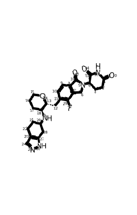 O=C1CCC(N2Cc3c(ccc(C[C@H]4OCCC[C@@H]4NC4CCc5cn[nH]c5C4)c3F)C2=O)C(=O)N1